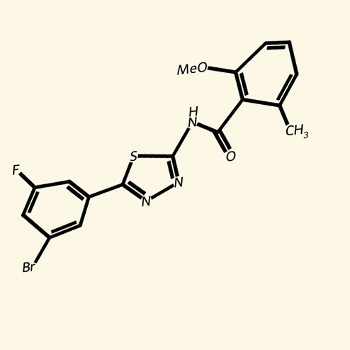 COc1cccc(C)c1C(=O)Nc1nnc(-c2cc(F)cc(Br)c2)s1